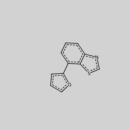 [c]1ccoc1-c1cccc2ncsc12